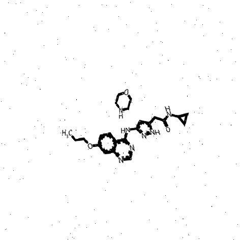 C1COCCN1.CCCOc1ccc2c(Nc3cc(CC(=O)NC4CC4)[nH]n3)ncnc2c1